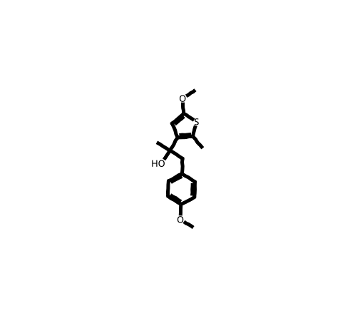 COc1ccc(CC(C)(O)c2cc(OC)sc2C)cc1